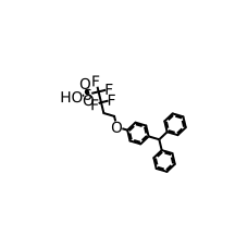 O=S(=O)(O)C(F)(F)C(F)(F)CCOc1ccc(C(c2ccccc2)c2ccccc2)cc1